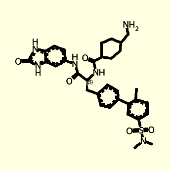 Cc1ccc(S(=O)(=O)N(C)C)cc1-c1ccc(C[C@H](NC(=O)C2CCC(CN)CC2)C(=O)Nc2ccc3[nH]c(=O)[nH]c3c2)cc1